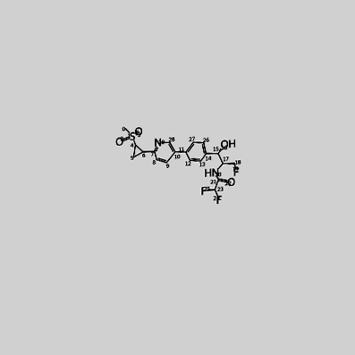 CS(=O)(=O)C1CC1c1ccc(-c2ccc([C@@H](O)[C@@H](CF)NC(=O)C(F)F)cc2)cn1